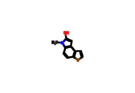 Cn1c(O)cc2c3ccsc3ccc21